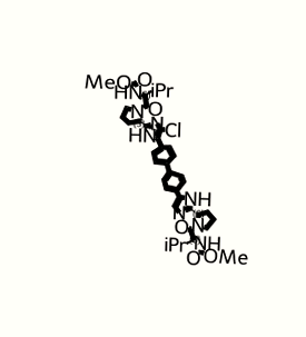 COC(=O)N[C@H](C(=O)N1CCC[C@H]1c1ncc(-c2ccc(-c3ccc(-c4[nH]c([C@@H]5CCCN5C(=O)[C@@H](NC(=O)OC)C(C)C)nc4Cl)cc3)cc2)[nH]1)C(C)C